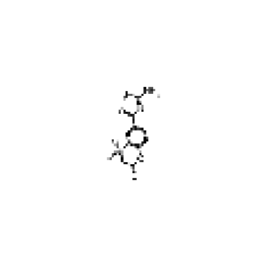 NC(N)=NC(=O)c1ccc2c(c1)S(=O)(=O)CC(=O)O2